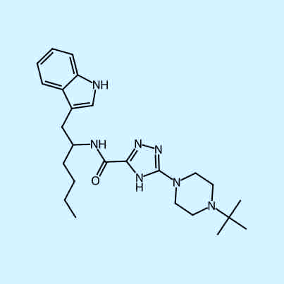 CCCCC(Cc1c[nH]c2ccccc12)NC(=O)c1nnc(N2CCN(C(C)(C)C)CC2)[nH]1